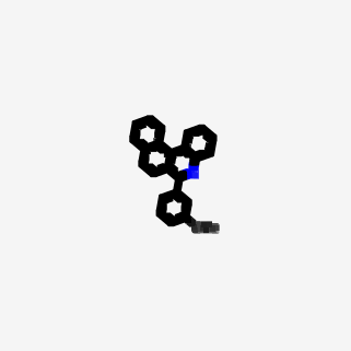 COc1cccc(-c2nc3ccccc3c3c2ccc2ccccc23)c1